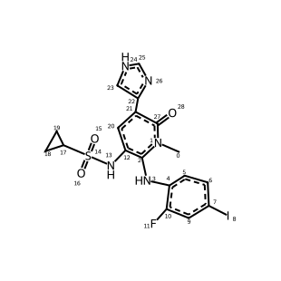 Cn1c(Nc2ccc(I)cc2F)c(NS(=O)(=O)C2CC2)cc(-c2c[nH]cn2)c1=O